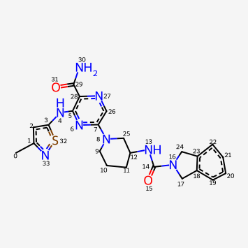 Cc1cc(Nc2nc(N3CCCC(NC(=O)N4Cc5ccccc5C4)C3)cnc2C(N)=O)sn1